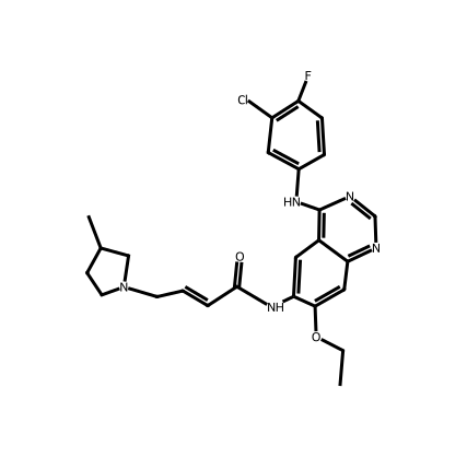 CCOc1cc2ncnc(Nc3ccc(F)c(Cl)c3)c2cc1NC(=O)/C=C/CN1CCC(C)C1